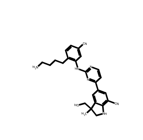 CC1(CO)CNc2c(C#N)cc(-c3ccnc(Nc4cc(C#N)ccc4CCCCN)n3)cc21